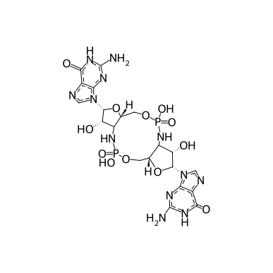 Nc1nc2c(ncn2[C@@H]2O[C@@H]3COP(=O)(O)NC4[C@@H](COP(=O)(O)NC3[C@@H]2O)O[C@@H](n2cnc3c(=O)[nH]c(N)nc32)[C@H]4O)c(=O)[nH]1